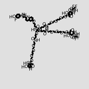 O=C(CCOCC(COCCC(=O)NCCOCCOCCOCCOC[C@@]12CO[C@@H](O1)[C@H](NC(=O)C(F)(F)F)[C@@H](O)[C@H]2O)(COCCC(=O)NCCOCCOCCOCCOC[C@]12CO[C@H](C[C@@H](O)[C@H]1O)O2)NC(=O)CCCOc1ccc2nc(-c3cn(-c4ccc(O)c(F)c4)nn3)ccc2c1)NCCOCCOCCOCCOC[C@@]12CO[C@H](O1)[C@H](NC(=O)C(F)(F)F)[C@@H](O)[C@H]2O